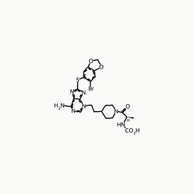 C[C@@H](NC(=O)O)C(=O)N1CCC(CCn2cnc(N)c3nc(Sc4cc5c(cc4Br)OCO5)nc2-3)CC1